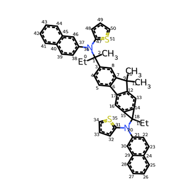 CCC(C)(c1ccc2c(c1)C(C)(C)c1cc3c(cc1-2)C3(CC)N(c1ccc2ccccc2c1)c1cccs1)N(c1ccc2ccccc2c1)c1cccs1